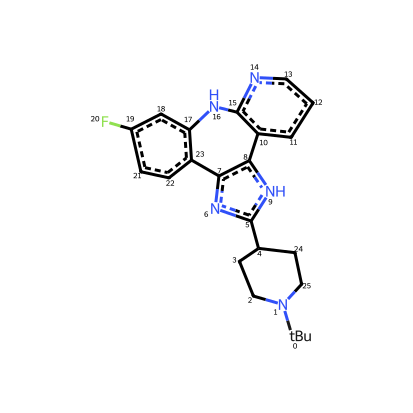 CC(C)(C)N1CCC(c2nc3c([nH]2)-c2cccnc2Nc2cc(F)ccc2-3)CC1